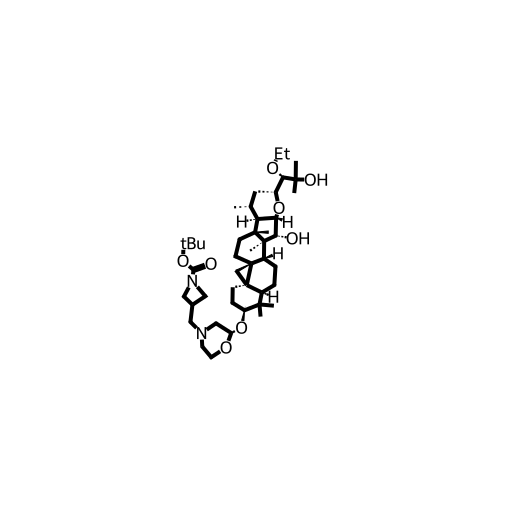 CCO[C@@H]([C@H]1C[C@@H](C)[C@H]2[C@H](O1)[C@H](O)[C@@]1(C)[C@@H]3CC[C@H]4C(C)(C)[C@@H](O[C@H]5CN(CC6CN(C(=O)OC(C)(C)C)C6)CCO5)CC[C@@]45C[C@@]35CC[C@]21C)C(C)(C)O